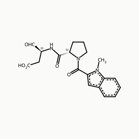 Cn1c(C(=O)N2CCC[C@H]2C(=O)N[C@H](C=O)CC(=O)O)cc2ccccc21